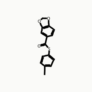 Cc1ccc(SC(=O)c2ccc3c(c2)OCO3)cc1